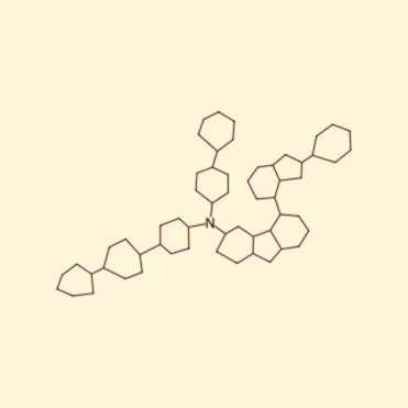 C1CCC(C2CCC(C3CCC(N(C4CCC(C5CCCCC5)CC4)C4CCC5CC6CCCC(C7CCCC8CC(C9CCCCC9)CC87)C6C5C4)CC3)CC2)CC1